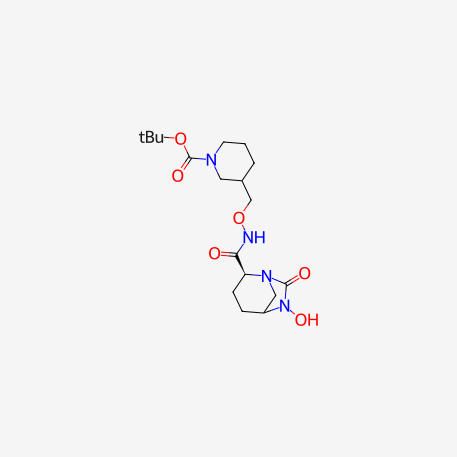 CC(C)(C)OC(=O)N1CCCC(CONC(=O)[C@@H]2CCC3CN2C(=O)N3O)C1